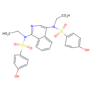 O=C(O)CN(c1cnc(N(CC(=O)O)S(=O)(=O)c2ccc(O)cc2)c2ccccc12)S(=O)(=O)c1ccc(O)cc1